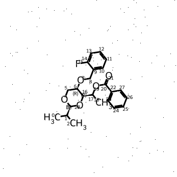 CC(C)[C@H]1OC[C@@H](OCc2ccccc2F)[C@@H](C(C)OC(=O)c2ccccc2)O1